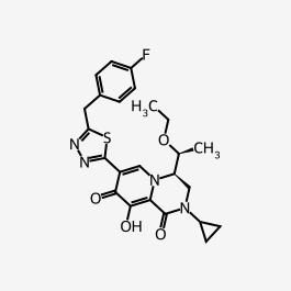 CCO[C@@H](C)[C@H]1CN(C2CC2)C(=O)c2c(O)c(=O)c(-c3nnc(Cc4ccc(F)cc4)s3)cn21